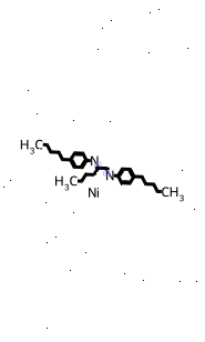 CCCCCc1ccc(/N=C/C(CCCC)=N/c2ccc(CCCCC)cc2)cc1.[Ni]